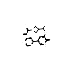 C=CC(=O)N1CC(C(CC)Nc2cc(-c3ccncn3)c[nH]c2=O)C1